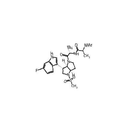 CN[C@@H](C)C(=O)N[C@H](C(=O)N1CC[C@@H]2[C@H]1[C@@H](c1c[nH]c3cc(F)ccc13)CN2S(C)(=O)=O)C(C)(C)C